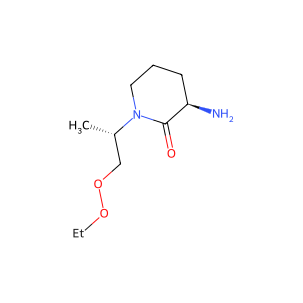 CCOOC[C@H](C)N1CCC[C@@H](N)C1=O